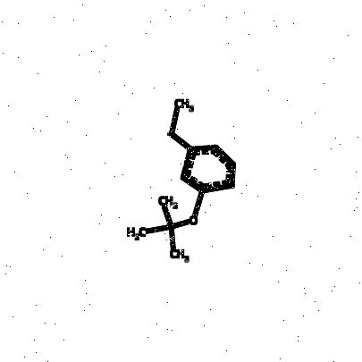 C[CH]c1cccc(OC(C)(C)C)c1